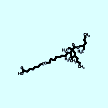 CCCCC(CC)COC(=O)C(CC)(CC(CC)CCCC)C(CC)CCCCCCCCCCCCCCCCC(=O)O